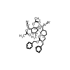 CC(=O)O[C@@H]1C(N=[N+]=[N-])[C@H](OC(C)=O)[C@@H](O)[C@H](C2O[C@H](CN(Cc3ccccc3)C(=O)OCc3ccccc3)CCC2N=[N+]=[N-])[C@H]1C